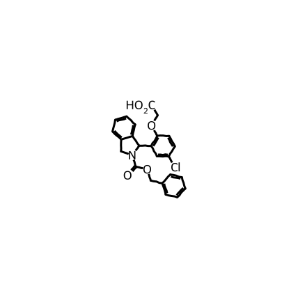 O=C(O)COc1ccc(Cl)cc1C1c2ccccc2CN1C(=O)OCc1ccccc1